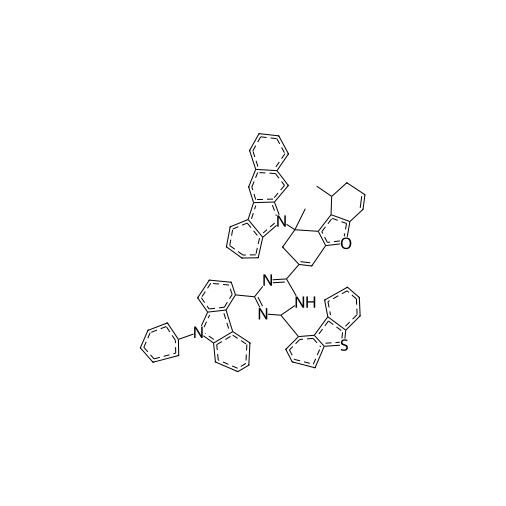 CC1CC=Cc2oc3c(c21)C(C)(n1c2ccccc2c2cc4ccccc4cc21)CC(C1=NC(c2cccc4c2c2ccccc2n4-c2ccccc2)=NC(c2cccc4sc5ccccc5c24)N1)=C3